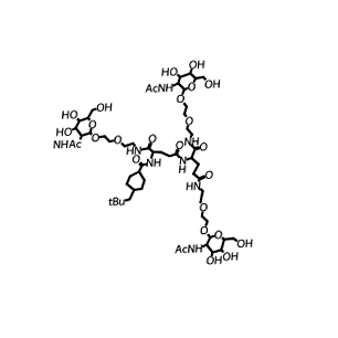 CC(=O)NC1C(OCCOCCNC(=O)CCC(NC(=O)CCC(NC(=O)C2CCC(CC(C)(C)C)CC2)C(=O)NCCOCCOC2OC(CO)C(O)C(O)C2NC(C)=O)C(=O)NCCOCCOC2OC(CO)C(O)C(O)C2NC(C)=O)OC(CO)C(O)C1O